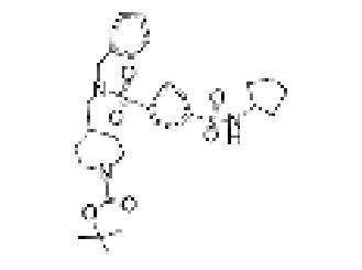 CC(C)(C)OC(=O)N1CCC(CN(Cc2ccccc2)S(=O)(=O)c2ccc(S(=O)(=O)NC3CCCC3)cc2)CC1